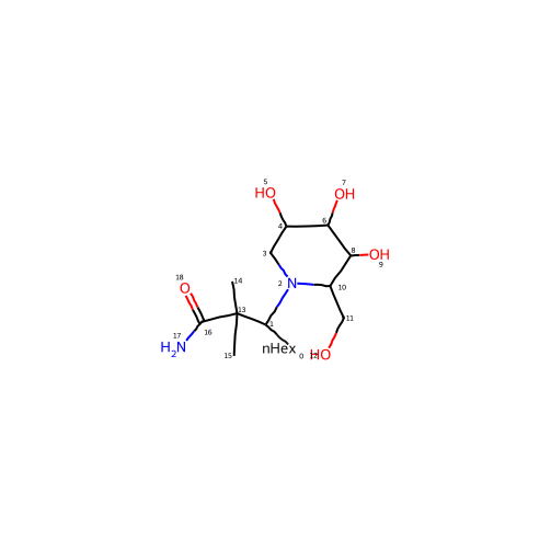 CCCCCCC(N1CC(O)C(O)C(O)C1CO)C(C)(C)C(N)=O